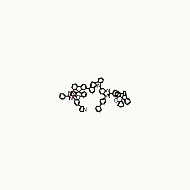 c1ccc(-c2ccc(-c3nc(-c4ccc(-c5cccc6c5C5(c7ccccc7Oc7ccccc75)c5ccccc5-6)cc4)nc4cc(-n5c6ccccc6c6ccc7c(-c8ccc9c(c8)C8(c%10ccccc%10Oc%10ccccc%108)c8c(-c%10nc(-c%11ccccc%11)nc(-c%11ccc(-c%12cccnc%12)cc%11)n%10)cccc8-9)cccc7c65)ccc34)cc2)cc1